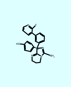 NC1=N[C@@](c2ccc(O)cc2)(c2cccc(-c3cccnc3F)c2)C2=NCCCN12